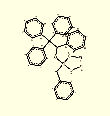 CCO[Si](Cc1ccccc1)(OCC)OC(c1ccccc1)C(c1ccccc1)(c1ccccc1)c1ccccc1